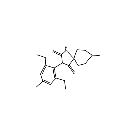 CCc1cc(C)cc(CC)c1C1C(=O)NC2(CCC(C)CC2)C1=O